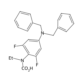 CCN(C(=O)O)c1c(F)cc(N(Cc2ccccc2)Cc2ccccc2)cc1F